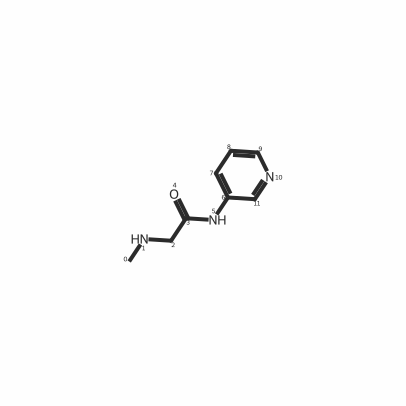 CNCC(=O)Nc1cccnc1